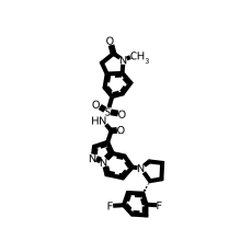 CN1C(=O)Cc2cc(S(=O)(=O)NC(=O)c3cnn4ccc(N5CCC[C@@H]5c5cc(F)ccc5F)cc34)ccc21